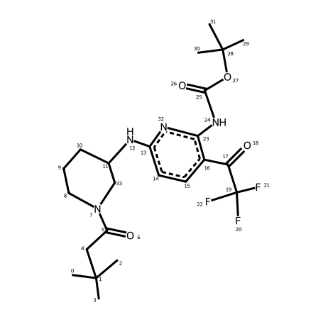 CC(C)(C)CC(=O)N1CCCC(Nc2ccc(C(=O)C(F)(F)F)c(NC(=O)OC(C)(C)C)n2)C1